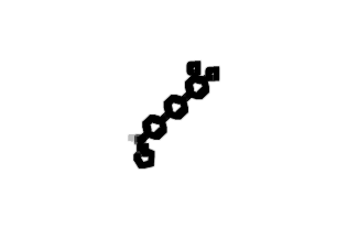 C[C@H](c1ccc(-c2ccc(-c3ccc(Cl)c(Cl)c3)cc2)cc1)N1CCCC1